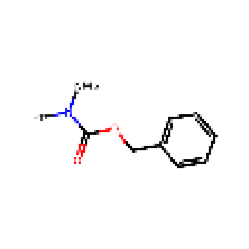 CCN(NC)C(=O)OCc1ccccc1